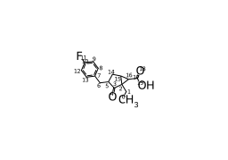 CCC12C(=O)C(Cc3ccc(F)cc3)CC1C2C(=O)O